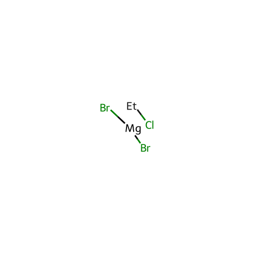 [Br][Mg][Br].[CH2]CCl